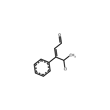 CC(Cl)/C(=C\C=O)c1ccccc1